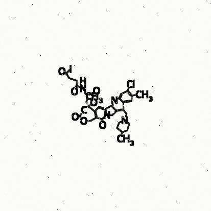 CC[C@@]1(OC(=O)CNC(=O)CCC(=O)I)CC(=O)OCc2c1cc1n(c2=O)Cc2c-1nc1cc(Cl)c(C)cc1c2CN1CCC(C)CC1